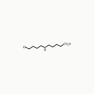 O=C(O)CCCCNCCCCCl